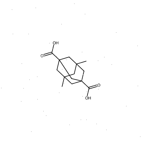 CC12CC3(C)CC(C(=O)O)(C1)CC(C(=O)O)(C2)C3